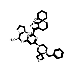 C[C@H](Oc1cc(N2CCN(Cc3ccccc3)C3(COC3)C2)nc(-c2onc3c2CCC[C@@]32CCCCC2=O)n1)[C@@H]1CCCN1C